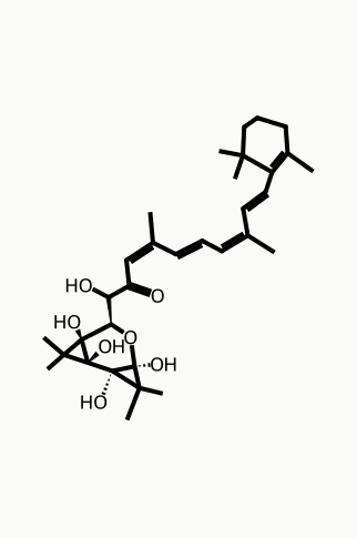 CC(C=CC1=C(C)CCCC1(C)C)=CC=CC(C)=CC(=O)C(O)[C@H]1O[C@@]2(O)C(C)(C)[C@@]2(O)[C@]2(O)C(C)(C)[C@]12O